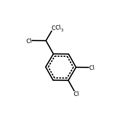 Clc1ccc(C(Cl)C(Cl)(Cl)Cl)cc1Cl